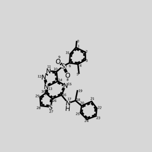 Cc1ccc(C)c(S(=O)(=O)c2nnn3c2nc(NC(C)c2ccccc2)c2sccc23)c1